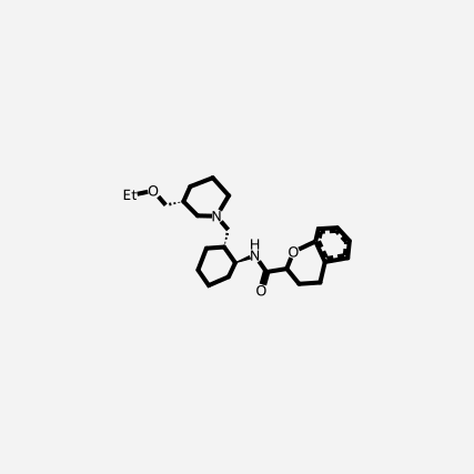 CCOC[C@@H]1CCCN(C[C@H]2CCCC[C@@H]2NC(=O)C2CCc3ccccc3O2)C1